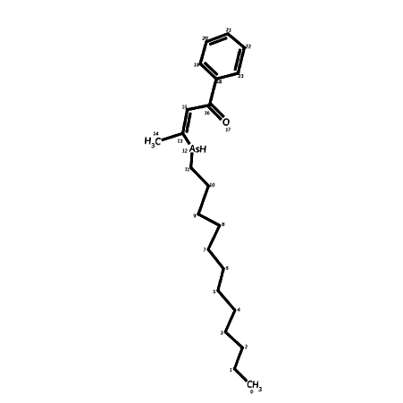 CCCCCCCCCCCC[AsH]C(C)=CC(=O)c1ccccc1